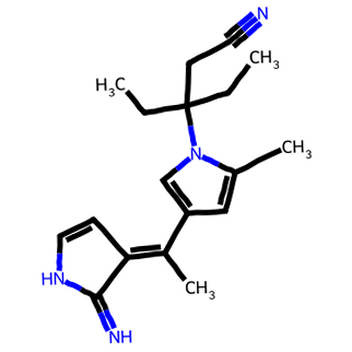 CCC(CC)(CC#N)n1cc(/C(C)=C2\C=CNC2=N)cc1C